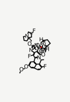 CCc1c(F)ccc2cc(OCOC)cc(-c3nc4c5c(nc(OC[C@@]67CCCN6C[C@@H](F)C7)nc5c3F)N3C[C@H]5CC[C@@H]([C@@H]3CO4)N5C(=O)OC(C)(C)C)c12